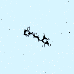 O=C1[N]C(=O)[C@H](CCCNC2=NCCN2)N1